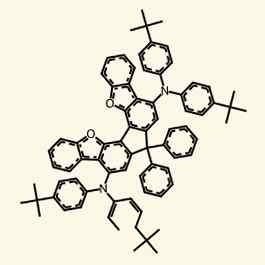 C/C=C(\C=C/CC(C)(C)C)N(c1ccc(C(C)(C)C)cc1)c1cc2c(c3oc4ccccc4c13)-c1c(cc(N(c3ccc(C(C)(C)C)cc3)c3ccc(C(C)(C)C)cc3)c3c1oc1ccccc13)C2(c1ccccc1)c1ccccc1